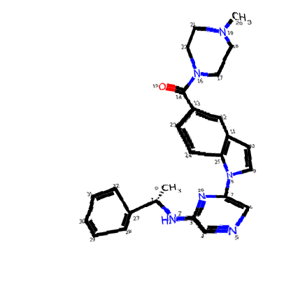 C[C@H](Nc1cncc(-n2ccc3cc(C(=O)N4CCN(C)CC4)ccc32)n1)c1ccccc1